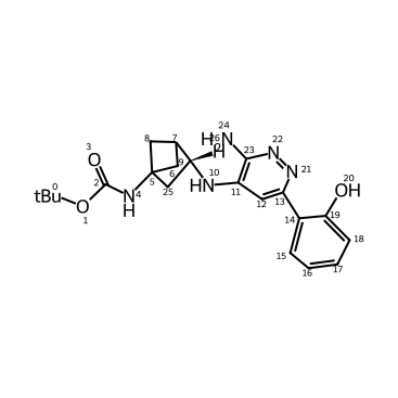 CC(C)(C)OC(=O)NC12CC(C1)[C@H](Nc1cc(-c3ccccc3O)nnc1N)C2